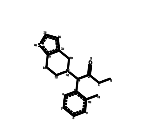 CCC(=O)C(c1ccccc1C)N1CCc2sccc2C1